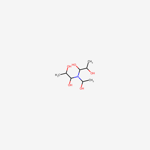 CC(O)C(O)N(C(C)O)C(O)C(C)O